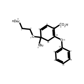 CCCCCCCCCCCCOC1(C(C)(C)C)C=CC(C(=O)O)=C(Oc2ccccc2)C1